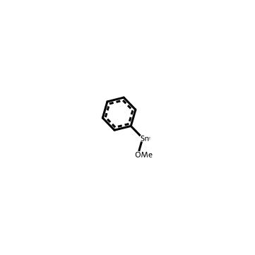 C[O][Sn][c]1ccccc1